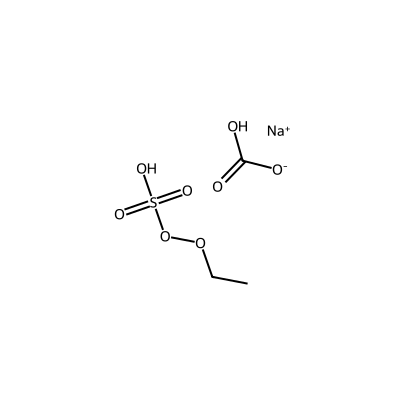 CCOOS(=O)(=O)O.O=C([O-])O.[Na+]